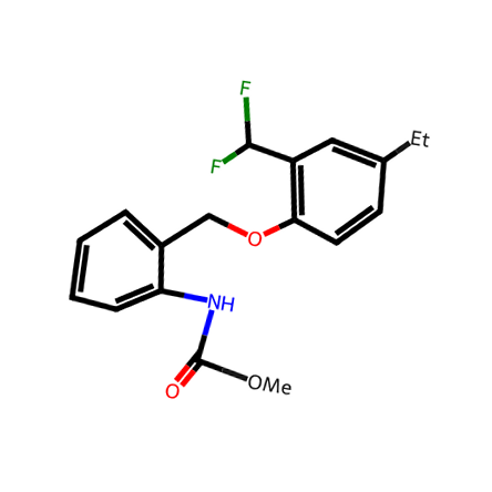 CCc1ccc(OCc2ccccc2NC(=O)OC)c(C(F)F)c1